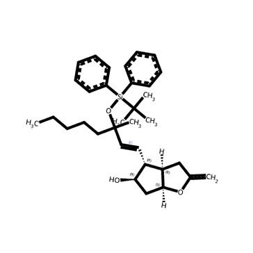 C=C1C[C@@H]2[C@@H](/C=C/C(C)(CCCCC)O[Si](c3ccccc3)(c3ccccc3)C(C)(C)C)[C@H](O)C[C@@H]2O1